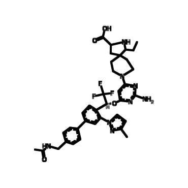 CCC1NC(C(=O)O)CC12CCN(c1cc(O[C@H](c3ccc(-c4ccc(CNC(C)=O)cc4)cc3-n3ccc(C)n3)C(F)(F)F)nc(N)n1)CC2